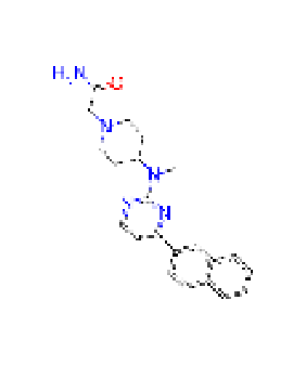 CN(c1nccc(-c2ccc3ccccc3c2)n1)C1CCN(CC(N)=O)CC1